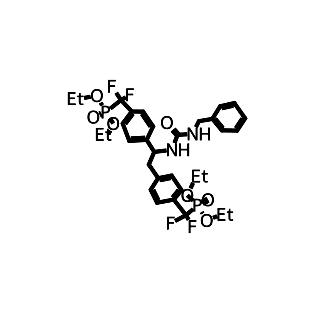 CCOP(=O)(OCC)C(F)(F)c1ccc(CC(NC(=O)NCc2ccccc2)c2ccc(C(F)(F)P(=O)(OCC)OCC)cc2)cc1